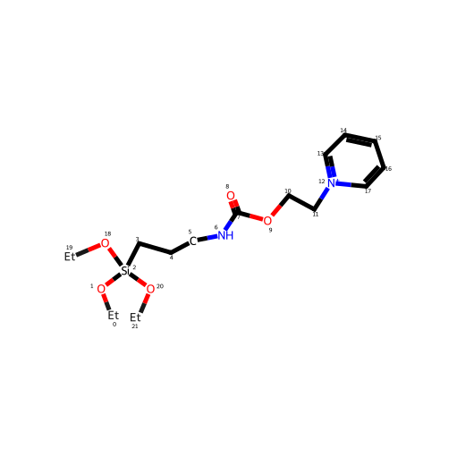 CCO[Si](CCCNC(=O)OCC[n+]1ccccc1)(OCC)OCC